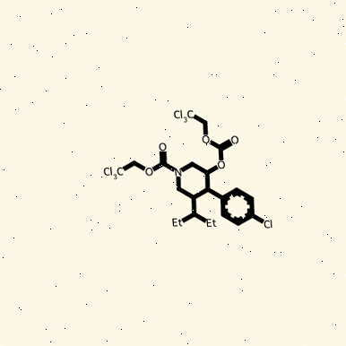 CCC(CC)C1CN(C(=O)OCC(Cl)(Cl)Cl)CC(OC(=O)OCC(Cl)(Cl)Cl)C1c1ccc(Cl)cc1